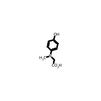 CN(CC(=O)O)c1ccc(O)cc1